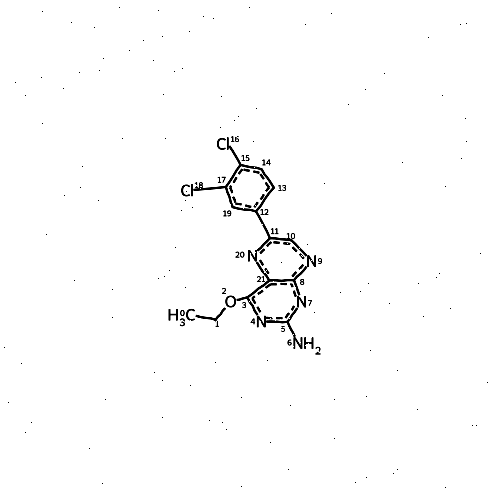 CCOc1nc(N)nc2ncc(-c3ccc(Cl)c(Cl)c3)nc12